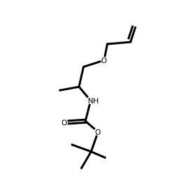 C=CCOCC(C)NC(=O)OC(C)(C)C